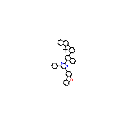 CC1(C)c2c(cccc2-c2ccc(-c3nc(-c4ccccc4)cc(-c4ccc5oc6ccccc6c5c4)n3)c3ccccc23)-c2ccc3ccccc3c21